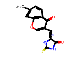 COc1ccc2c(=O)c(/C=C3\NC(=S)NC3=O)coc2c1